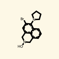 ON1Cc2cccc3c(N4CCCC4)c(Br)cc(c23)C1